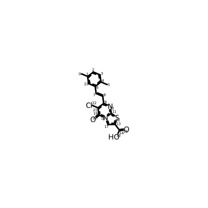 Cc1ccc(C)c(/C=C/c2nc3sc(C(=O)O)cn3c(=O)c2Cl)c1